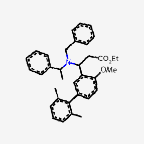 CCOC(=O)CC(c1cc(-c2c(C)cccc2C)ccc1OC)N(Cc1ccccc1)C(C)c1ccccc1